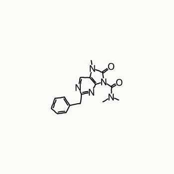 CN(C)C(=O)n1c(=O)n(C)c2cnc(Cc3ccccc3)nc21